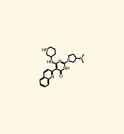 CN(C)C1CCN(c2nc(NC3CCCNC3)c(-c3ccc4ccccc4n3)c(=O)[nH]2)C1